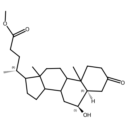 COC(=O)CC[C@@H](C)C1CCC2C3C[C@H](O)[C@@H]4CC(=O)CCC4(C)C3CCC21C